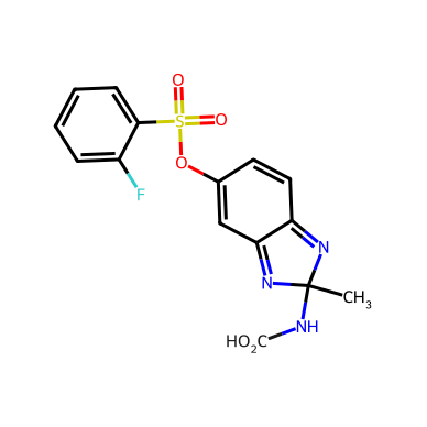 CC1(NC(=O)O)N=c2ccc(OS(=O)(=O)c3ccccc3F)cc2=N1